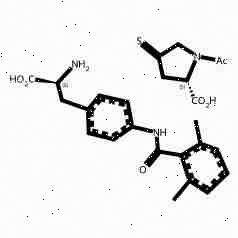 CC(=O)N1CC(=S)C[C@H]1C(=O)O.Cc1cccc(C)c1C(=O)Nc1ccc(C[C@H](N)C(=O)O)cc1